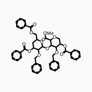 COC(=O)C1OCC(OC(=O)c2ccccc2)C(OCc2ccccc2)C1OC1OC(COC(=O)c2ccccc2)CC(OC(=O)c2ccccc2)C1OCc1ccccc1